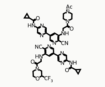 CC(=O)N1CCN(C(=O)CNc2cc(-c3cnc(NC(=O)C4CC4)cn3)cnc2C#N)CC1.N#Cc1ncc(-c2cnc(NC(=O)C3CC3)cn2)cc1NCC(=O)N1CCOC(C(F)(F)F)C1